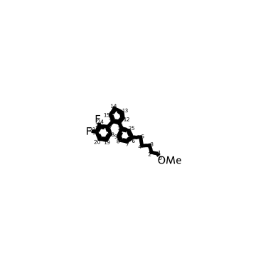 COCCCCCc1cccc(-c2ccccc2-c2cccc(F)c2F)c1